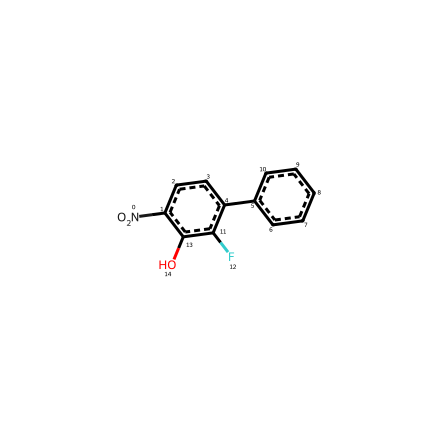 O=[N+]([O-])c1ccc(-c2ccccc2)c(F)c1O